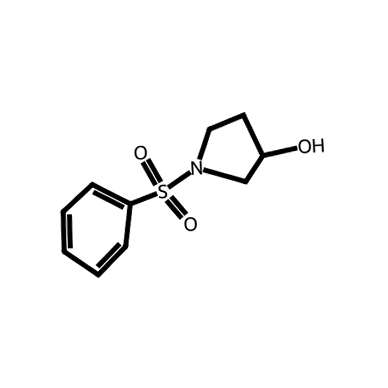 O=S(=O)(c1ccccc1)N1CCC(O)C1